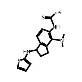 CCCC(=S)Nc1ccc2c(c1N(C)C)CCC2Nc1cccs1